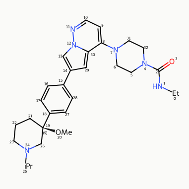 CCNC(=O)N1CCN(c2ccnn3cc(-c4ccc([C@@]5(OC)CCCN(C(C)C)C5)cc4)cc23)CC1